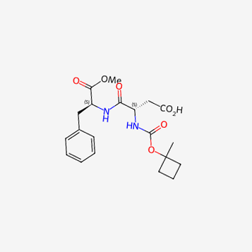 COC(=O)[C@H](Cc1ccccc1)NC(=O)[C@H](CC(=O)O)NC(=O)OC1(C)CCC1